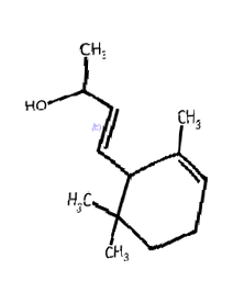 CC1=CCCC(C)(C)C1/C=C/C(C)O